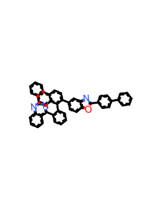 c1ccc(-c2ccc(-c3nc4cc(-c5ccc6ccccc6c5-c5ccccc5-c5nc(-c6ccccc6)nc6ccccc56)ccc4o3)cc2)cc1